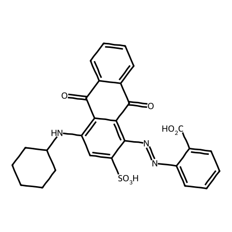 O=C(O)c1ccccc1N=Nc1c(S(=O)(=O)O)cc(NC2CCCCC2)c2c1C(=O)c1ccccc1C2=O